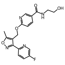 Cc1onc(-c2ccc(F)cn2)c1COc1ccc(C(=O)NCCO)cn1